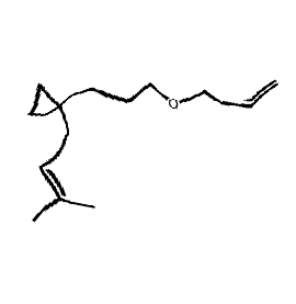 C=CCOCCCC1(CC=C(C)C)CC1